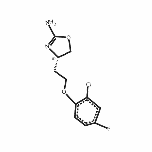 NC1=N[C@@H](CCOc2ccc(F)cc2Cl)CO1